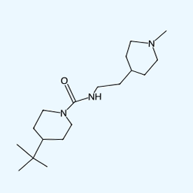 CN1CCC(CCNC(=O)N2CCC(C(C)(C)C)CC2)CC1